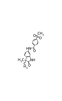 CC1(C)C(=O)Nc2cc(NC(=O)c3ccc(S(C)(=O)=O)cc3)ccc21